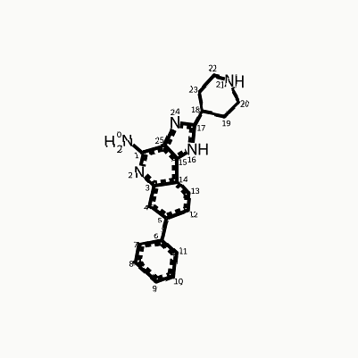 Nc1nc2cc(-c3ccccc3)ccc2c2[nH]c(C3CCNCC3)nc12